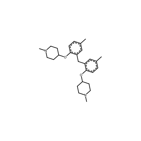 Cc1ccc(OC2CCN(C)CC2)c(Cc2cc(C)ccc2OC2CCN(C)CC2)c1